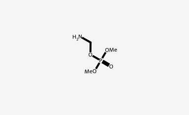 COP(=O)(OC)OCN